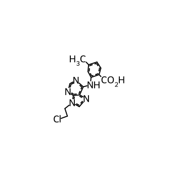 Cc1ccc(C(=O)O)c(Nc2ncnc3c2ncn3CCCl)c1